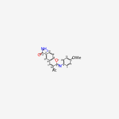 COc1ccc(/N=c2\oc3ccc(C(N)=O)cc3cc2C(C)=O)cc1